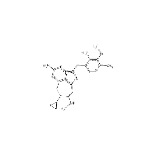 CNC1Cc2nn(Cc3ncc(C)c(OC)c3C)c3nc(N)nc(c23)SC1C1CC1